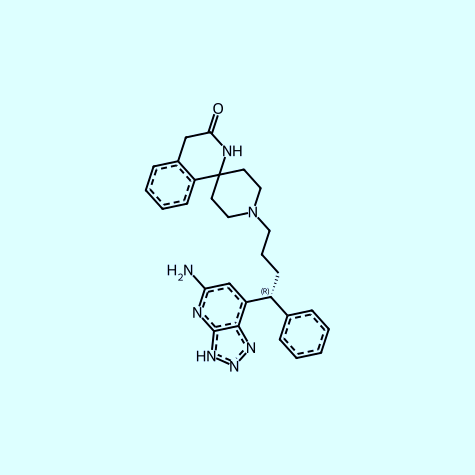 Nc1cc([C@H](CCCN2CCC3(CC2)NC(=O)Cc2ccccc23)c2ccccc2)c2nn[nH]c2n1